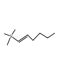 CCCCC=C[Si](C)(C)C